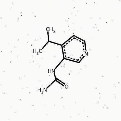 CC(C)c1ccncc1NC(N)=O